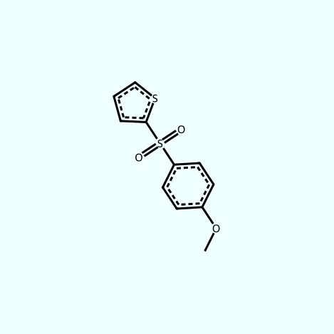 COc1ccc(S(=O)(=O)c2cccs2)cc1